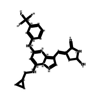 O=C1NC(O)C/C1=C\c1cnn2c(NCC3CC3)cc(Nc3cccc(C(F)(F)F)c3)nc12